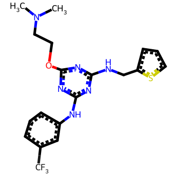 CN(C)CCOc1nc(NCc2cccs2)nc(Nc2cccc(C(F)(F)F)c2)n1